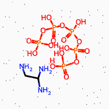 NCC(N)N.O=P(O)(O)OP(=O)(O)OP(=O)(O)OP(=O)(O)OP(=O)(O)O